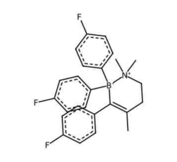 CC1=C(c2ccc(F)cc2)[B-](c2ccc(F)cc2)(c2ccc(F)cc2)[N+](C)(C)CC1